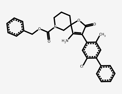 Cc1cc(-c2ccccc2)c(Cl)cc1C1=C(N)C2(CCCN(C(=O)OCc3ccccc3)C2)OC1=O